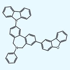 c1ccc(N2Cc3cc(-c4ccc5oc6ccccc6c5c4)ccc3-c3cc(-n4c5ccccc5c5ccccc54)ccc3C2)cc1